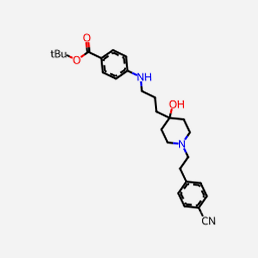 CC(C)(C)OC(=O)c1ccc(NCCCC2(O)CCN(CCc3ccc(C#N)cc3)CC2)cc1